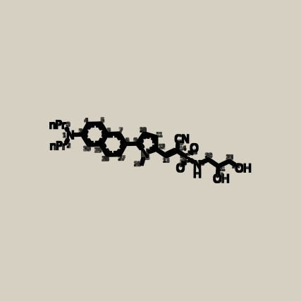 CCCN(CCC)c1ccc2cc(-c3ccc(/C=C(\C#N)S(=O)(=O)NCC(O)CO)n3C)ccc2c1